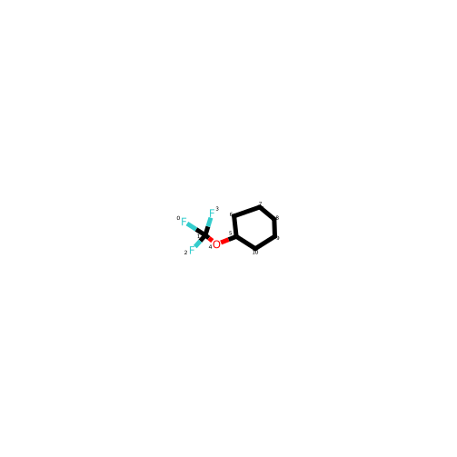 FC(F)(F)OC1C[CH]CCC1